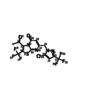 CC(=O)c1c(C(F)(F)F)sc2nc(Cn3nc(C(F)(F)F)cc3Cl)cc(=O)n12